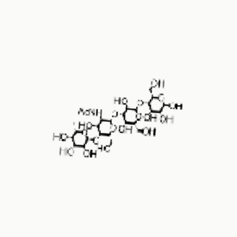 CC(=O)N[C@H]1[C@H](O[C@H]2[C@@H](O)[C@@H](CO)O[C@@H](O[C@H]3[C@H](O)[C@@H](O)C(O)O[C@@H]3CO)[C@@H]2O)O[C@H](CO)[C@@H](O[C@@H]2O[C@@H](C)[C@@H](O)[C@@H](O)[C@@H]2O)[C@@H]1O